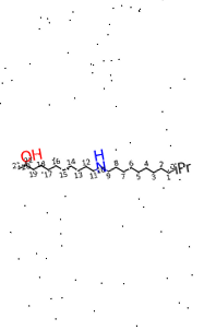 CC(C)CCCCCCCCCNCCCCCCCCCC(C)O